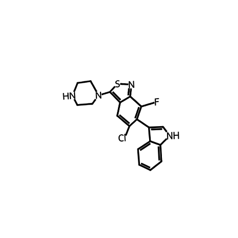 Fc1c(-c2c[nH]c3ccccc23)c(Cl)cc2c(N3CCNCC3)snc12